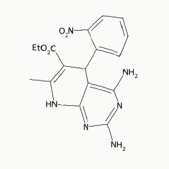 CCOC(=O)C1=C(C)Nc2nc(N)nc(N)c2C1c1ccccc1[N+](=O)[O-]